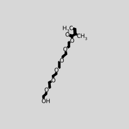 CC=C(C)C(=O)OCCOCCOCCOCCOCCOCCO